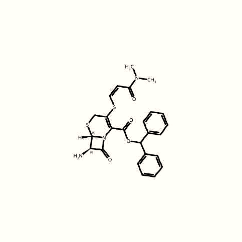 CN(C)C(=O)/C=C\SC1=C(C(=O)OC(c2ccccc2)c2ccccc2)N2C(=O)[C@@H](N)[C@@H]2SC1